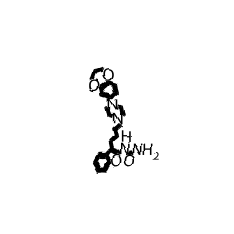 NC(=O)Nc1oc2ccccc2c1CCCCN1CCN(c2ccc3c(c2)OCCCO3)CC1